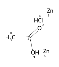 CC(=O)O.Cl.[Zn].[Zn]